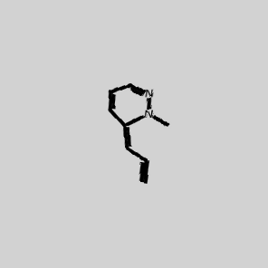 C=C/C=C1/C=CC=NN1C